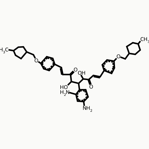 CC1CCC(COc2ccc(/C=C/C(=O)C(O)C(c3ccc(N)cc3N)C(O)C(=O)/C=C/c3ccc(OCC4CCC(C)CC4)cc3)cc2)CC1